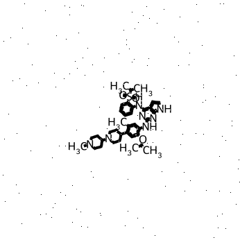 Cc1cc(Nc2nc(Nc3ccccc3S(=O)(=O)C(C)C)c3cc[nH]c3n2)c(OC(C)C)cc1C1CCN(C2CCN(C)CC2)CC1